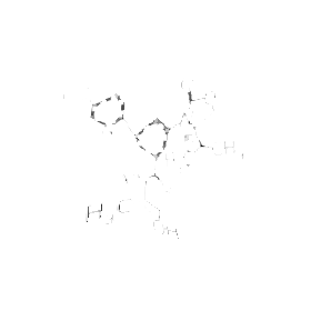 Cc1ccc(-c2cc(C(=O)N[C@@H](C)CO)cc(N3C(=O)OC[C@H]3C(C)C)c2)nc1